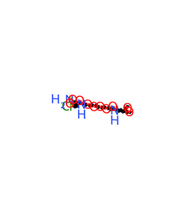 COCC(CCCCNC(=O)CCOCCOCCOCCOCCNC(=O)c1ccc(Cl)c(S(N)(=O)=O)c1)COC